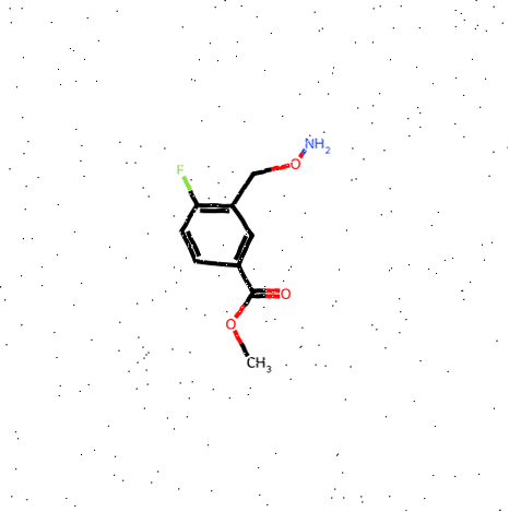 COC(=O)c1ccc(F)c(CON)c1